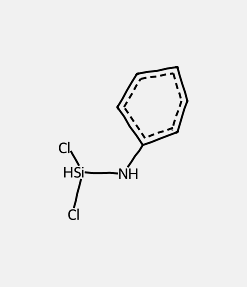 Cl[SiH](Cl)Nc1ccccc1